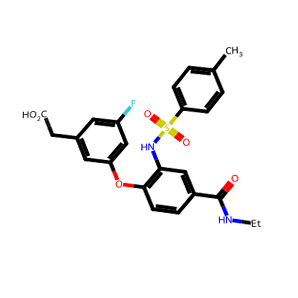 CCNC(=O)c1ccc(Oc2cc(F)cc(CC(=O)O)c2)c(NS(=O)(=O)c2ccc(C)cc2)c1